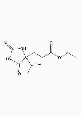 CCOC(=O)CCC1(C(C)C)NC(=O)NC1=O